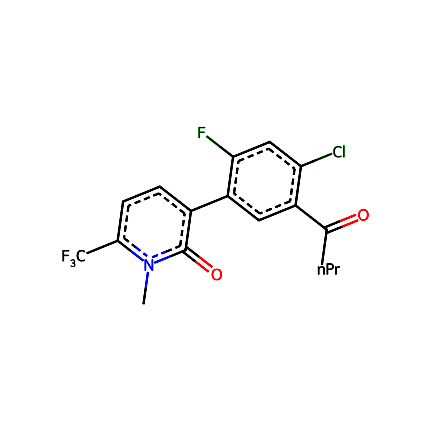 CCCC(=O)c1cc(-c2ccc(C(F)(F)F)n(C)c2=O)c(F)cc1Cl